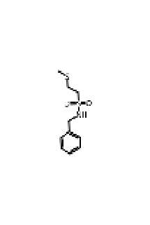 CSCCS(=O)(=O)NCc1ccccc1